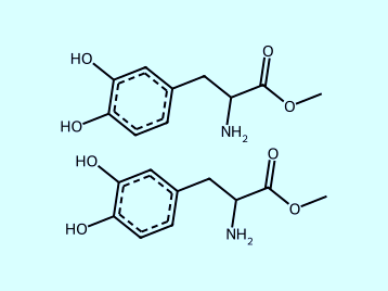 COC(=O)C(N)Cc1ccc(O)c(O)c1.COC(=O)C(N)Cc1ccc(O)c(O)c1